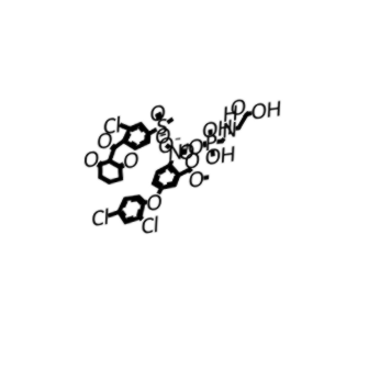 COC(=O)c1cc(Oc2ccc(Cl)cc2Cl)ccc1[N+](=O)[O-].CS(=O)(=O)c1ccc(C(=O)C2C(=O)CCCC2=O)c(Cl)c1.O=C(O)CNCP(=O)(O)O